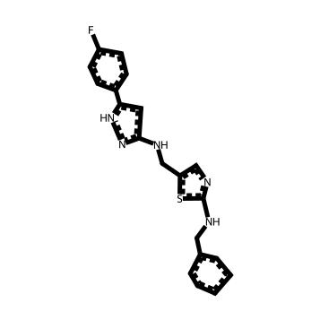 Fc1ccc(-c2cc(NCc3cnc(NCc4ccccc4)s3)n[nH]2)cc1